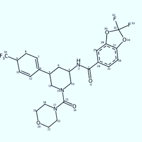 O=C(NC1CC(C2=CCC(C(F)(F)F)C=C2)CN(C(=O)N2CCOCC2)C1)c1ccc2c(c1)OC(F)(F)O2